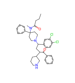 CCCC(=O)N(C)C1(c2ccccc2)CCN(C(CC(C(=O)c2ccccc2)C2CCCNC2)c2ccc(Cl)c(Cl)c2)CC1